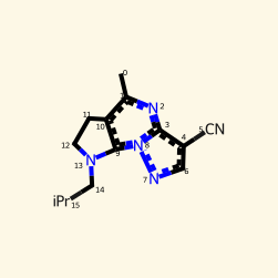 Cc1nc2c(C#N)cnn2c2c1CCN2CC(C)C